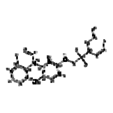 C=C/C=C(\C=C/C)C(C)(C)COc1ncc(Cl)c(N(C=C)c2ccccc2C)n1